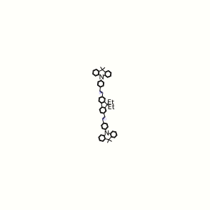 CCC1(CC)c2cc(/C=C/c3ccc(N4c5ccccc5C(C)(C)c5ccccc54)cc3)ccc2-c2ccc(/C=C/c3ccc(N4c5ccccc5C(C)(C)c5ccccc54)cc3)cc21